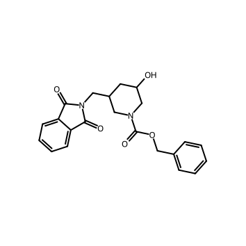 O=C(OCc1ccccc1)N1CC(O)CC(CN2C(=O)c3ccccc3C2=O)C1